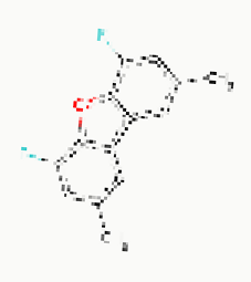 Cc1cc(F)c2oc3c(F)cc(C)cc3c2c1